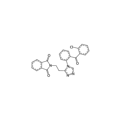 O=C(c1ccccc1Cl)c1ccccc1-n1cnnc1CCN1C(=O)c2ccccc2C1=O